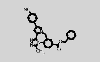 Cc1nnc2n1-c1ccc(C(=O)OCc3ccccc3)cc1Cn1cc(-c3ccc(C#N)cc3)cc1-2